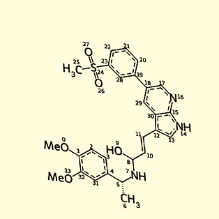 COc1ccc([C@@H](C)NC(O)/C=C/c2c[nH]c3ncc(-c4cccc(S(C)(=O)=O)c4)cc23)cc1OC